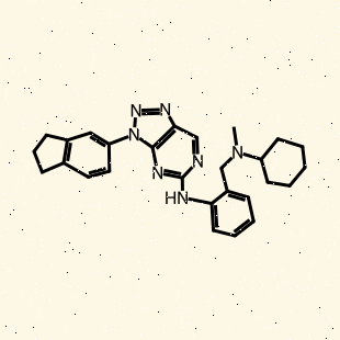 CN(Cc1ccccc1Nc1ncc2nnn(-c3ccc4c(c3)CCC4)c2n1)C1CCCCC1